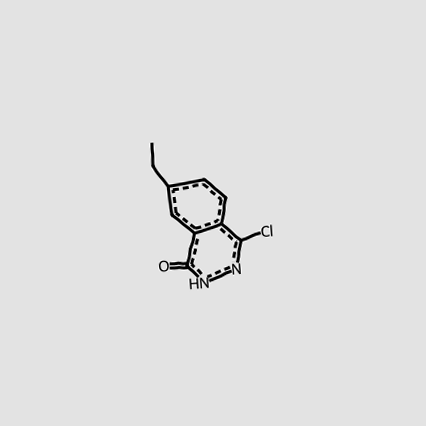 CCc1ccc2c(Cl)n[nH]c(=O)c2c1